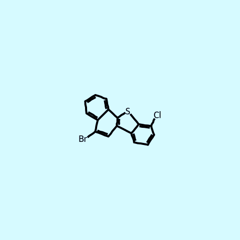 Clc1cccc2c1sc1c3ccccc3c(Br)cc21